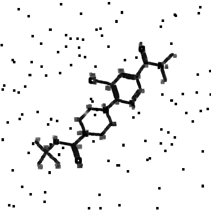 CN(C)C(=O)c1cnc(N2CCN(C(=O)OC(C)(C)C)CC2)c(Cl)c1